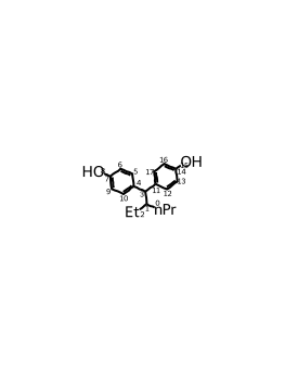 CCCC(CC)C(c1ccc(O)cc1)c1ccc(O)cc1